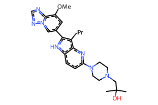 COc1cc(-c2[nH]c3ccc(N4CCN(CC(C)(C)O)CC4)nc3c2C(C)C)cn2ncnc12